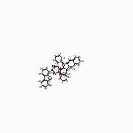 c1ccc(-c2nc(-c3ccccc3-n3c4ccccc4c4cc5ccccc5cc43)nc(-c3cccc4c3oc3ccccc34)n2)cc1